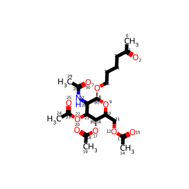 CC(=O)CCCCO[C@@H]1OC(COC(C)=O)[C@H](OC(C)=O)C(OC(C)=O)C1NC(C)=O